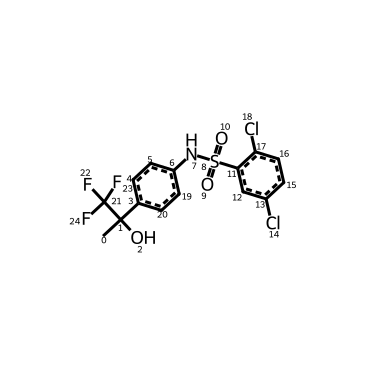 CC(O)(c1ccc(NS(=O)(=O)c2cc(Cl)ccc2Cl)cc1)C(F)(F)F